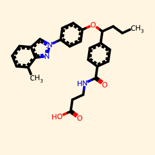 CCCC(Oc1ccc(-n2cc3cccc(C)c3n2)cc1)c1ccc(C(=O)NCCC(=O)O)cc1